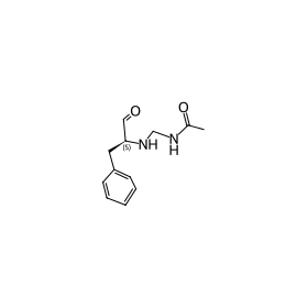 CC(=O)NCN[C@H](C=O)Cc1ccccc1